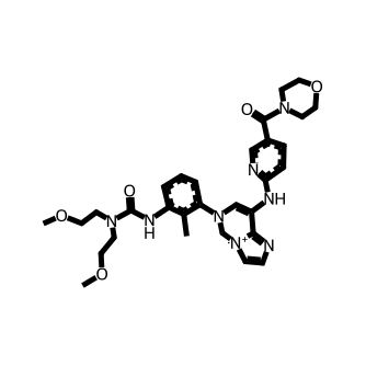 COCCN(CCOC)C(=O)Nc1cccc(N2C=C(Nc3ccc(C(=O)N4CCOCC4)cn3)C3=NC=C[N+]3C2)c1C